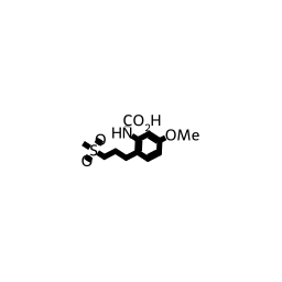 COc1ccc(CCCS(C)(=O)=O)c(NC(=O)O)c1